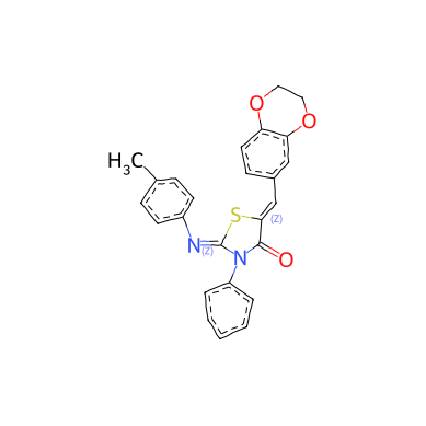 Cc1ccc(/N=C2\S/C(=C\c3ccc4c(c3)OCCO4)C(=O)N2c2ccccc2)cc1